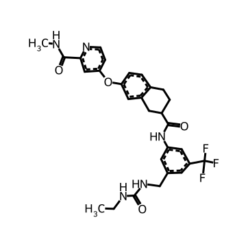 CCNC(=O)NCc1cc(NC(=O)C2CCc3ccc(Oc4ccnc(C(=O)NC)c4)cc3C2)cc(C(F)(F)F)c1